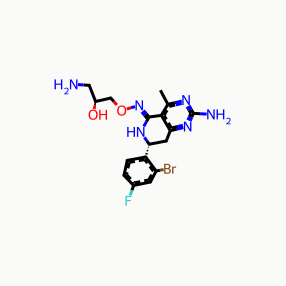 Cc1nc(N)nc2c1/C(=N/OC[C@@H](O)CN)N[C@@H](c1ccc(F)cc1Br)C2